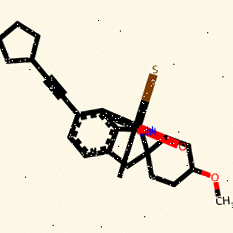 COC1CCC2(CC1)Cc1ccc(C#CC3CCCC3)cc1C21NC(=S)NC1=O